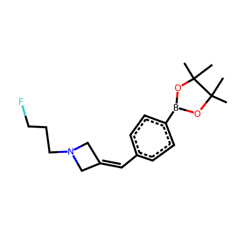 CC1(C)OB(c2ccc(C=C3CN(CCCF)C3)cc2)OC1(C)C